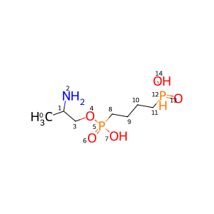 CC(N)COP(=O)(O)CCCC[PH](=O)O